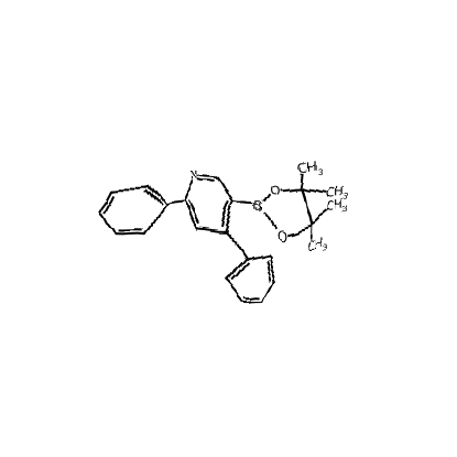 CC1(C)OB(c2cnc(-c3ccccc3)cc2-c2ccccc2)OC1(C)C